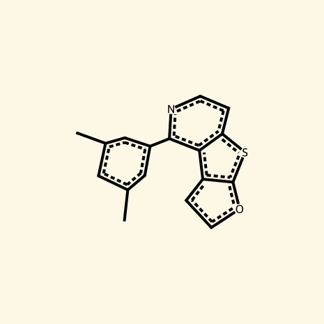 Cc1cc(C)cc(-c2nccc3sc4occc4c23)c1